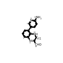 CNc1cccc(-c2ccc(N)nc2)c1N[C@H](C)CC=O